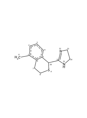 Cc1cccc2c1CCSC2C1=NCCN1